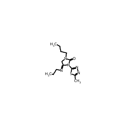 CCCCN1CC(=NCCC)N(c2nnc(C)s2)C1=O